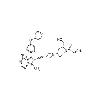 C=CC(=O)N1CCC(N2CC(C#Cc3c(-c4ccc(Oc5ccccc5)cc4)c4c(N)ncnc4n3C)C2)C[C@@H]1CO